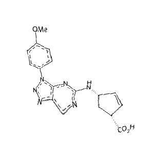 COc1ccc(-n2nnc3cnc(N[C@@H]4C=C[C@H](C(=O)O)C4)nc32)cc1